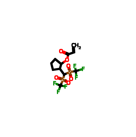 C=CC(=O)OC1CCCC1C(S(=O)(=O)C(F)(F)F)S(=O)(=O)C(F)(F)F